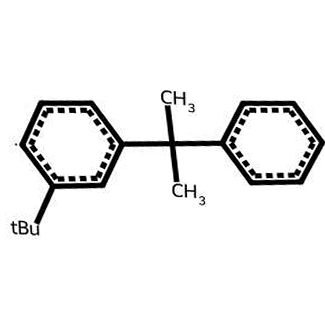 CC(C)(C)c1[c]ccc(C(C)(C)c2ccccc2)c1